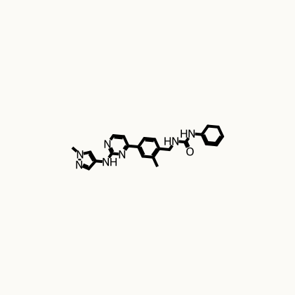 Cc1cc(-c2ccnc(Nc3cnn(C)c3)n2)ccc1CNC(=O)NC1=C=C=CCC1